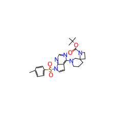 Cc1ccc(S(=O)(=O)n2ccc3c(N4CCCC5(CCN5C(=O)OC(C)(C)C)C4)ncnc32)cc1